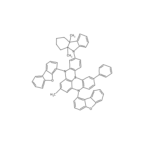 Cc1cc2c3c(c1)N(c1cccc4oc5ccccc5c14)c1ccc(-c4ccccc4)cc1B3c1ccc(N3c4ccccc4C4(C)CCCCC34C)cc1N2c1cccc2c1oc1ccccc12